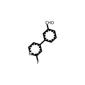 O=Cc1cccc(-c2ccnc(F)c2)c1